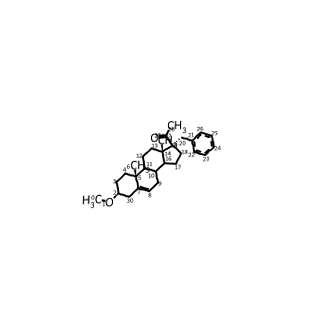 CO[C@H]1CC[C@@]2(C)C(=CCC3C2CC[C@@]2(C)C3CC[C@]2(Cc2ccccc2)C(C)=O)C1